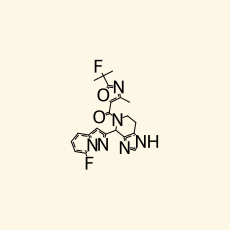 Cc1nc(C(C)(C)F)oc1C(=O)N1CCc2[nH]cnc2C1c1cc2cccc(F)n2n1